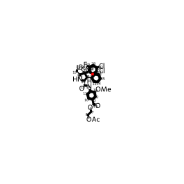 COc1cc(C(=O)OCCOC(C)=O)ccc1NC(=O)[C@@H]1N[C@@H](CC(C)(C)C)[C@](C#N)(c2ccc(Cl)cc2F)[C@H]1c1cccc(Cl)c1F